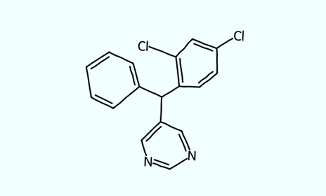 Clc1ccc(C(c2ccccc2)c2cncnc2)c(Cl)c1